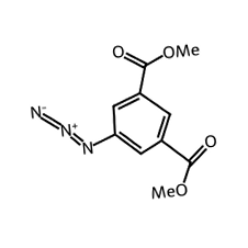 COC(=O)c1cc(N=[N+]=[N-])cc(C(=O)OC)c1